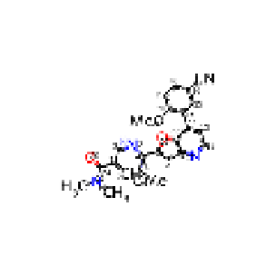 C=C(/C=N\C(=C\OC)c1cc2nccc(-c3cc(C#N)ccc3OC)c2o1)C(=O)N(C)C